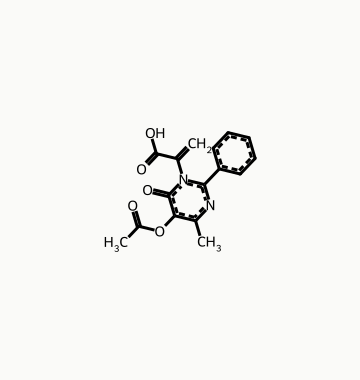 C=C(C(=O)O)n1c(-c2ccccc2)nc(C)c(OC(C)=O)c1=O